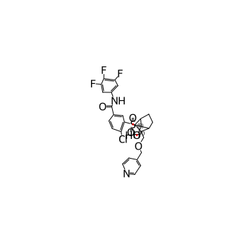 O=C(Nc1cc(F)c(F)c(F)c1)c1ccc(Cl)c(S(=O)(=O)[C@@H]2C3CCC2[C@@](O)(COCc2ccncc2)C3)c1